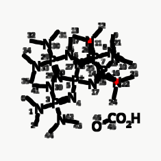 CN(C)P(=N[P+](N=P(N(C)C)(N(C)C)N(C)C)(N=P(N(C)C)(N(C)C)N(C)C)N=P(N(C)C)(N(C)C)N(C)C)(N(C)C)N(C)C.O=C([O-])O